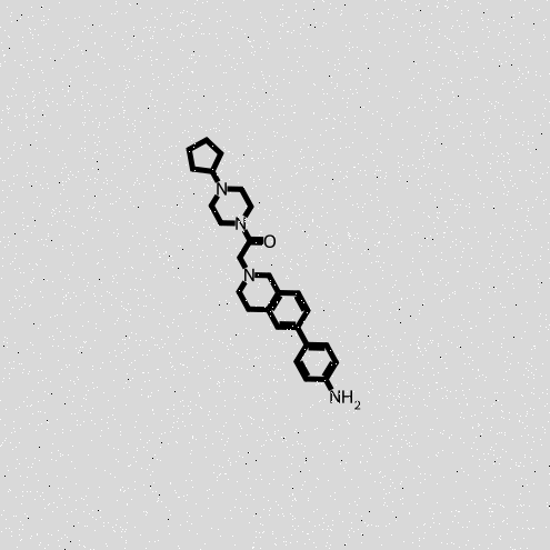 Nc1ccc(-c2ccc3c(c2)CCN(CC(=O)N2CCN(C4CCCC4)CC2)C3)cc1